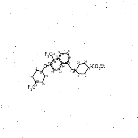 CCOC(=O)C1CCN(Cc2cccc3c(C(F)(F)F)c(OC4CCC(C(F)(F)F)CC4)ccc23)CC1